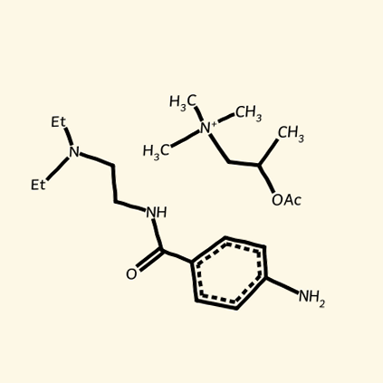 CC(=O)OC(C)C[N+](C)(C)C.CCN(CC)CCNC(=O)c1ccc(N)cc1